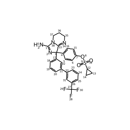 NC1=NC(c2ccc(OS(=O)(=O)C3CC3)cc2)(c2cccc(-c3cccc(C(F)(F)F)c3)c2)C2=NCCCN12